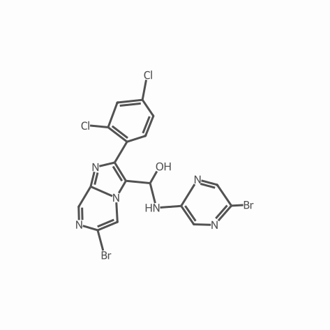 OC(Nc1cnc(Br)cn1)c1c(-c2ccc(Cl)cc2Cl)nc2cnc(Br)cn12